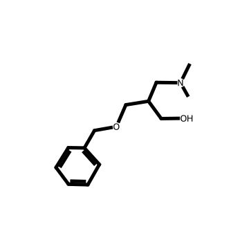 CN(C)CC(CO)COCc1ccccc1